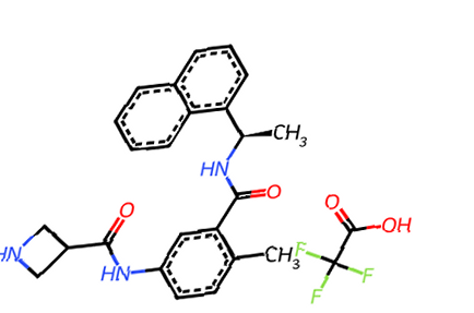 Cc1ccc(NC(=O)C2CNC2)cc1C(=O)N[C@H](C)c1cccc2ccccc12.O=C(O)C(F)(F)F